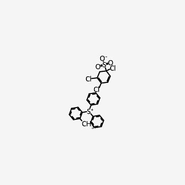 Cc1ccccc1[S+](c1ccccc1)c1ccccc1.O=S(=O)([O-])C1(Cl)C=CC(Cl)=C(Cl)C1